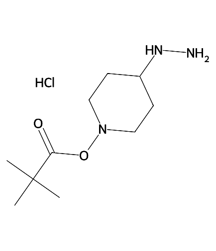 CC(C)(C)C(=O)ON1CCC(NN)CC1.Cl